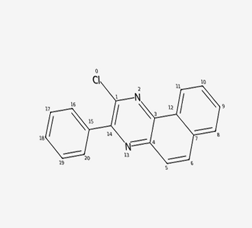 Clc1nc2c(ccc3ccccc32)nc1-c1ccccc1